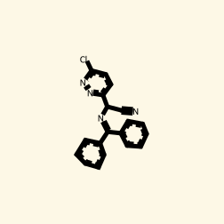 N#CC(N=C(c1ccccc1)c1ccccc1)c1ccc(Cl)nn1